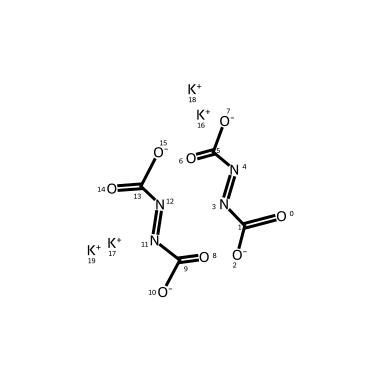 O=C([O-])/N=N/C(=O)[O-].O=C([O-])/N=N/C(=O)[O-].[K+].[K+].[K+].[K+]